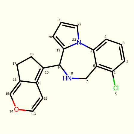 Clc1cccc2c1CNC(C1=C3C=COC=C3CC1)c1cccn1-2